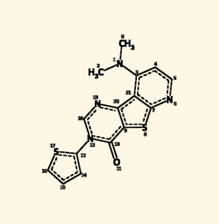 CN(C)c1ccnc2sc3c(=O)n(-c4cccs4)cnc3c12